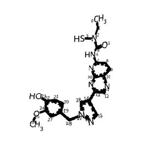 CCN(S)C(=O)Nc1ccc2ncc(-c3cnn(Cc4ccc(O)c(OC)c4)c3)nc2n1